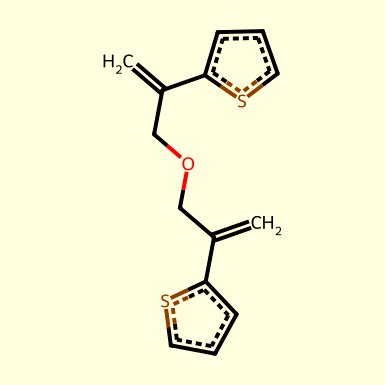 C=C(COCC(=C)c1cccs1)c1cccs1